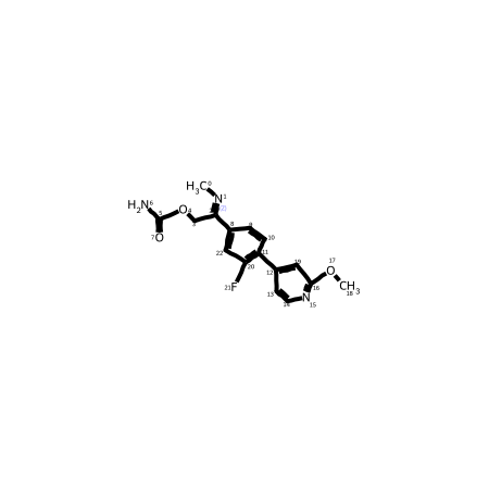 C/N=C(\COC(N)=O)c1ccc(-c2ccnc(OC)c2)c(F)c1